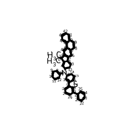 CC1(C)c2cc(N(c3ccccc3)c3ccc4sc5c(-c6ccccc6)cccc5c4c3)ccc2-c2cc3ccc4ccccc4c3cc21